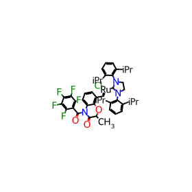 CC1Oc2c([CH]=[Ru]([Cl])[CH]3N(c4c(C(C)C)cccc4C(C)C)CCN3c3c(C(C)C)cccc3C(C)C)cccc2N(C(=O)c2c(F)c(F)c(F)c(F)c2F)C1=O